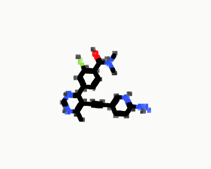 Cc1ncnc(-c2ccc(C(=O)N(C)C)c(F)c2)c1C#Cc1ccc(N)nc1